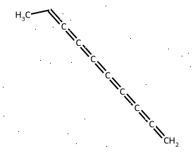 C=C=C=C=C=C=C=C=CC